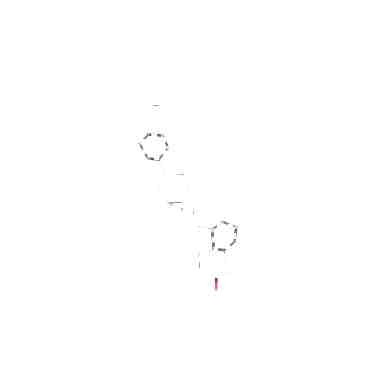 O=C1CCc2c(OC[C@]3(O)CCN(c4ccc(OC(F)F)cc4)C[C@H]3O)ccc(F)c2N1